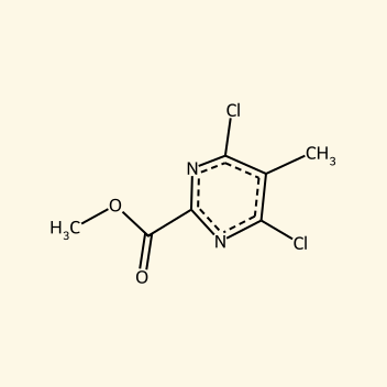 COC(=O)c1nc(Cl)c(C)c(Cl)n1